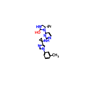 Cc1cccc(-n2cnc(C3(Nc4nccc(N5C(O)NC[C@@H]5C(C)C)n4)CC3)c2)c1